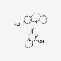 Cl.O=C(O)C1CCCCN1C/C=C/CN1c2ccccc2CCc2ccccc21